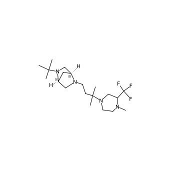 CN1CCN(C(C)(C)CCN2C[C@@H]3C[C@H]2CN3C(C)(C)C)CC1C(F)(F)F